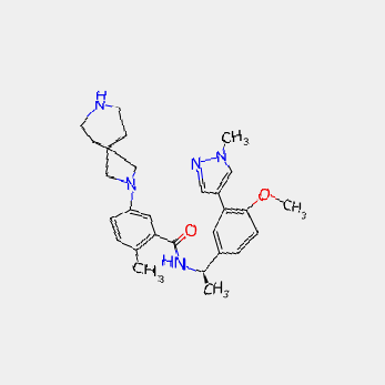 COc1ccc([C@@H](C)NC(=O)c2cc(N3CC4(CCNCC4)C3)ccc2C)cc1-c1cnn(C)c1